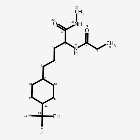 CCC(=O)NC(CCCC1CCC(C(F)(F)F)CC1)C(=O)NC